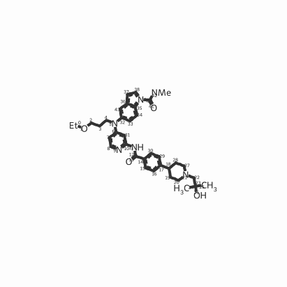 CCOCCCN(c1ccnc(NC(=O)c2ccc(C3CCN(CC(C)(C)O)CC3)cc2)c1)c1ccc2c(ccn2C(=O)NC)c1